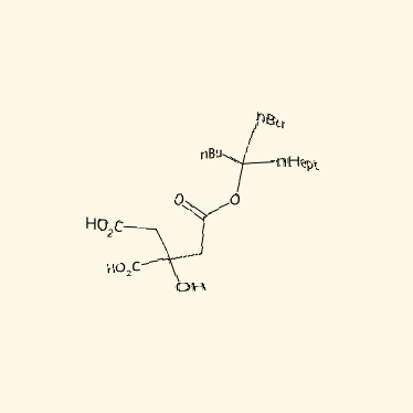 CCCCCCCC(CCCC)(CCCC)OC(=O)CC(O)(CC(=O)O)C(=O)O